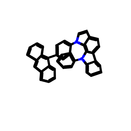 c1ccc(-n2c3ccccc3c3ccc4ccn(-c5ccc(-c6c7ccccc7cc7ccccc67)cc5)c4c32)cc1